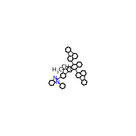 CC1(C)c2cc(-c3nc4ccccc4n3-c3ccccc3)ccc2-c2cc3c(-c4ccc5c6c(cccc46)-c4ccccc4-5)c4ccccc4c(-c4ccc5c6c(cccc46)-c4ccccc4-5)c3cc21